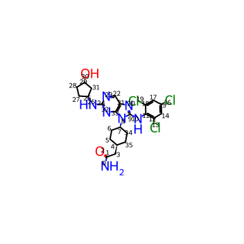 NC(=O)C[C@H]1CC[C@@H](n2c(Nc3c(Cl)cc(Cl)cc3Cl)nc3cnc(N[C@H]4CC[C@H](O)C4)nc32)CC1